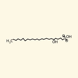 CCCCCCCCCCCCCCCCCCC(O)CCCCS(=O)(=O)O